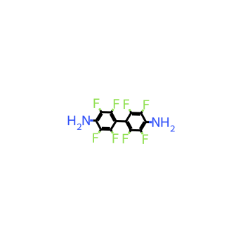 Nc1c(F)c(F)c(-c2c(F)c(F)c(N)c(F)c2F)c(F)c1F